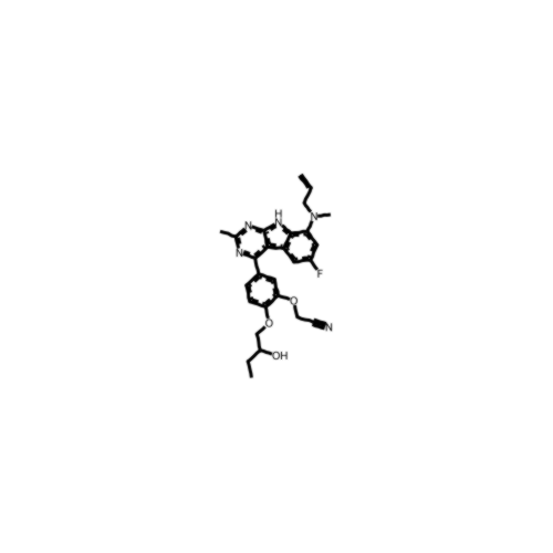 C=CCN(C)c1cc(F)cc2c1[nH]c1nc(C)nc(-c3ccc(OCC(O)CC)c(OCC#N)c3)c12